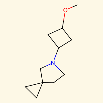 COC1CC(N2CCC3(CC3)C2)C1